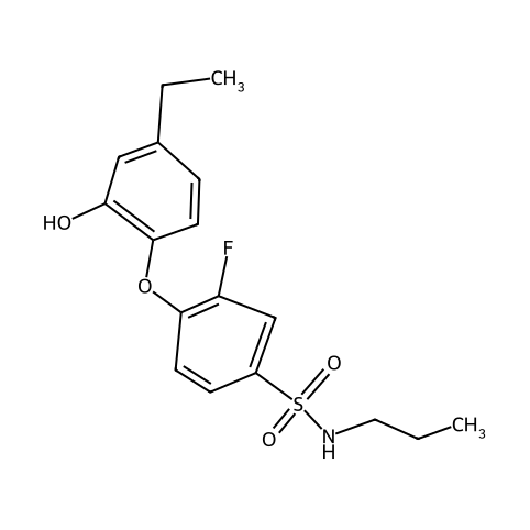 CCCNS(=O)(=O)c1ccc(Oc2ccc(CC)cc2O)c(F)c1